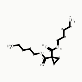 CCCCCOC(=O)C1(C(=O)OCCCCC)CC1